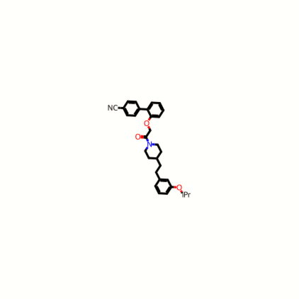 CC(C)Oc1cccc(CCC2CCN(C(=O)COc3ccccc3-c3ccc(C#N)cc3)CC2)c1